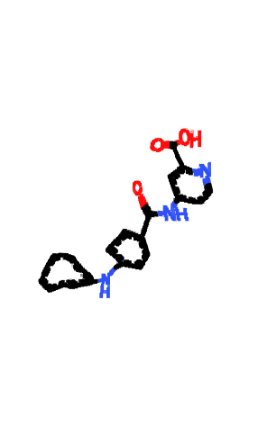 O=C(Nc1ccnc(C(=O)O)c1)c1ccc(Nc2ccccc2)cc1